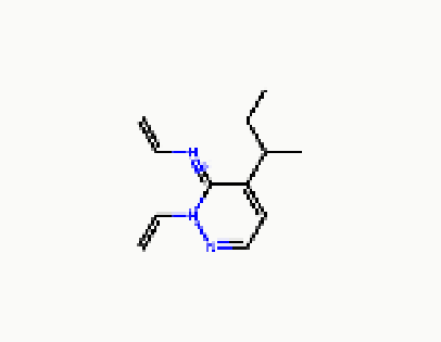 C=C/N=c1/c(C(C)CC)ccnn1C=C